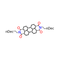 CCCCCCCCCCCCN1C(=O)c2ccc3c4ccc5c6c(ccc(c7ccc(c2c37)C1=O)c64)C(=O)N(CCCCCCCCCCCC)C5=O